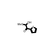 CSC(O)C(=O)c1cccs1